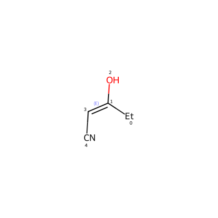 CC/C(O)=C\C#N